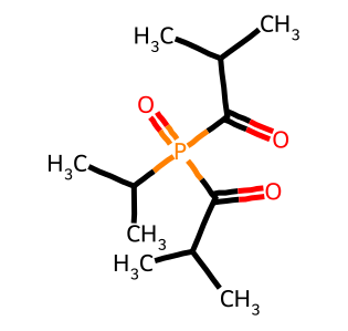 CC(C)C(=O)P(=O)(C(=O)C(C)C)C(C)C